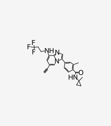 C#Cc1cc(NCCC(F)(F)F)c2ncc(-c3ccc(C(=O)NC4(C)CC4)c(C)c3)n2c1